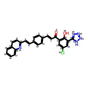 O=C(C=Cc1ccc(C=Cc2ccc3ccccc3n2)cc1)c1cc(Cl)cc(-c2nnn[nH]2)c1O